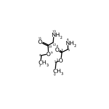 CCOC(=O)CN.CCOC(=O)CN